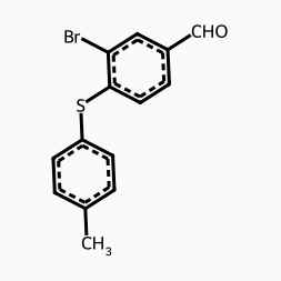 Cc1ccc(Sc2ccc(C=O)cc2Br)cc1